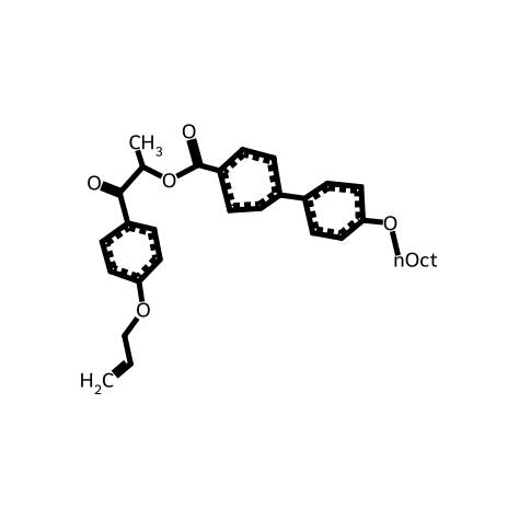 C=CCOc1ccc(C(=O)C(C)OC(=O)c2ccc(-c3ccc(OCCCCCCCC)cc3)cc2)cc1